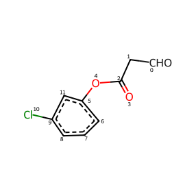 O=CCC(=O)Oc1cccc(Cl)c1